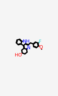 COc1ccc(Cc2nc3c(c4c2[nH]c2ccccc24)CC(O)CC3)cc1F